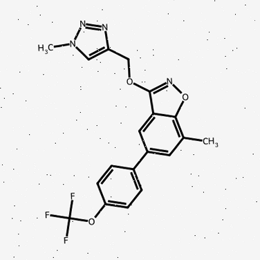 Cc1cc(-c2ccc(OC(F)(F)F)cc2)cc2c(OCc3cn(C)nn3)noc12